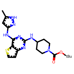 Cc1cc(Nc2nc(NC3CCN(C(=O)OC(C)(C)C)CC3)nc3ccsc23)n[nH]1